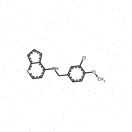 COc1ccc(CNc2ccsc3cccc2-3)cc1Cl